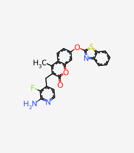 Cc1c(Cc2ccnc(N)c2F)c(=O)oc2cc(Oc3nc4ccccc4s3)ccc12